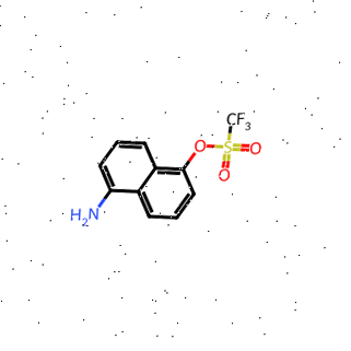 Nc1cccc2c(OS(=O)(=O)C(F)(F)F)cccc12